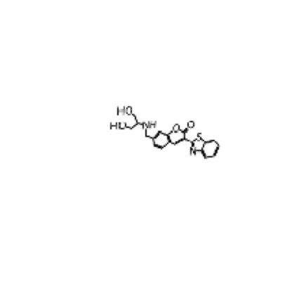 O=c1oc2cc(CNC(CO)CO)ccc2cc1-c1nc2ccccc2s1